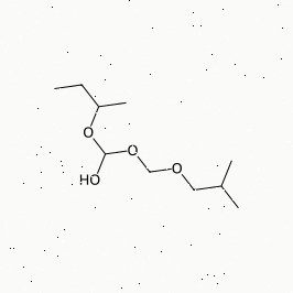 CCC(C)OC(O)OCOCC(C)C